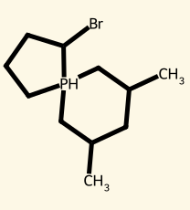 CC1CC(C)C[PH]2(CCCC2Br)C1